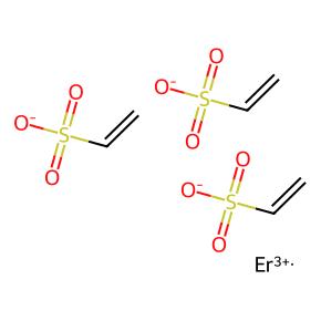 C=CS(=O)(=O)[O-].C=CS(=O)(=O)[O-].C=CS(=O)(=O)[O-].[Er+3]